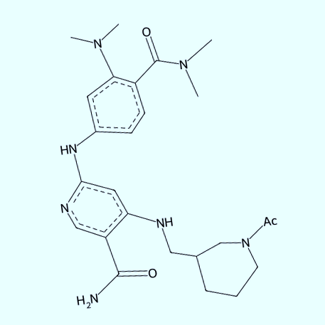 CC(=O)N1CCCC(CNc2cc(Nc3ccc(C(=O)N(C)C)c(N(C)C)c3)ncc2C(N)=O)C1